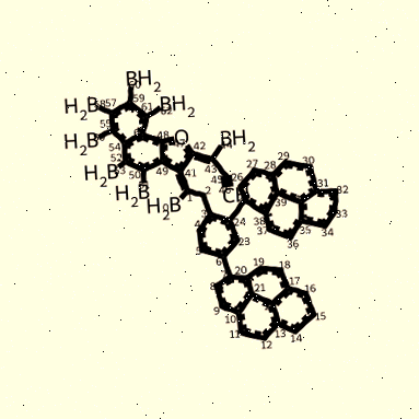 B/C(Cc1ccc(-c2ccc3ccc4cccc5ccc2c3c45)cc1-c1ccc2ccc3cccc4ccc1c2c34)=c1/c(=C(/B)C#C)oc2c1c(B)c(B)c1c(B)c(B)c(B)c(B)c12